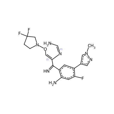 Cn1cc(-c2cc(C(=N)C(=C/ON3CCC(F)(F)C3)/N=C\N)c(N)cc2F)cn1